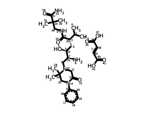 CC(C)[C@H](C[C@H](O)[C@@H](N)CN1CC(=O)N(c2ccccc2)CC1(C)C)C(=O)NCC(C)(C)C(N)=O.O=C(O)/C=C/C(=O)O